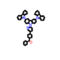 O=C(c1ccccc1)c1ccc(-c2ccc(-n3c4ccc(-n5c6ccccc6c6ccccc65)cc4c4cc(-n5c6ccccc6c6ccccc65)ccc43)nc2)cc1